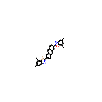 Cc1cc(C)c2oc(-c3ccc4cc5cc(-c6nc7cc(C)cc(C)c7s6)ccc5cc4c3)nc2c1